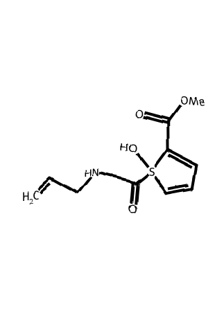 C=CCNC(=O)S1(O)C=CC=C1C(=O)OC